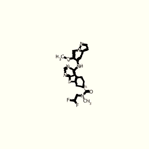 COc1cn2nccc2cc1Nc1ncnc2sc3c(c12)CC[C@H](C(=O)N(C)CC(F)F)C3